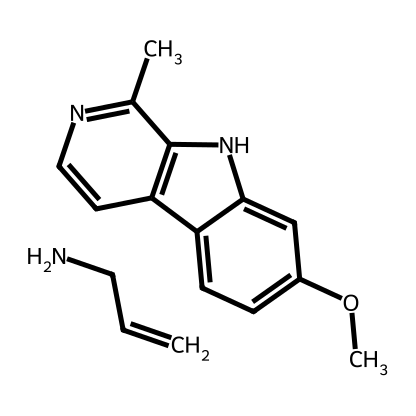 C=CCN.COc1ccc2c(c1)[nH]c1c(C)nccc12